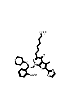 COc1ccccc1[C@@H](Cn1nc(CCCCCCC(=O)O)c(=O)c2c(C)c(-c3ncco3)sc21)OC1CCOCC1